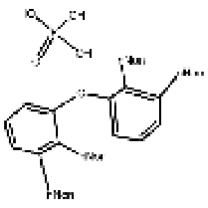 CCCCCCCCCc1cccc(Oc2cccc(CCCCCCCCC)c2CCCCCCCCC)c1CCCCCCCCC.O=P(O)(O)O